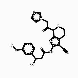 COc1cccc(C(C)CC(=O)Nc2sc3c(c2C#N)CCNC3C(=O)Cn2ccnc2)c1